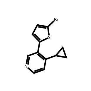 Brc1ccc(-c2cnccc2C2CC2)s1